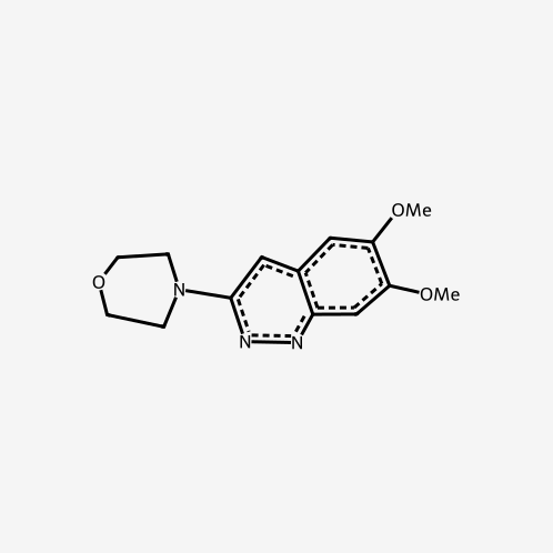 COc1cc2cc(N3CCOCC3)nnc2cc1OC